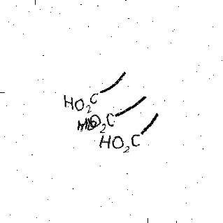 CC(=O)O.CC(=O)O.CC(=O)O.[Yb]